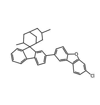 CC1CC2CC(C)C3(c4ccccc4-c4ccc(-c5ccc6oc7cc(Cl)ccc7c6c5)cc43)C(C1)C2